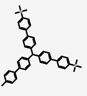 Cc1ccc(-c2ccc(C(c3ccc(-c4ccc([Si](C)(C)C)cc4)cc3)c3ccc(-c4ccc([Si](C)(C)C)cc4)cc3)cc2)cc1